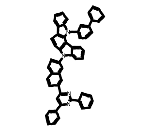 c1ccc(-c2cccc(-n3c4ccccc4c4ccc5c(c6ccccc6n5-c5ccc6ccc(-c7cc(-c8ccccc8)nc(-c8ccccc8)n7)cc6c5)c43)c2)cc1